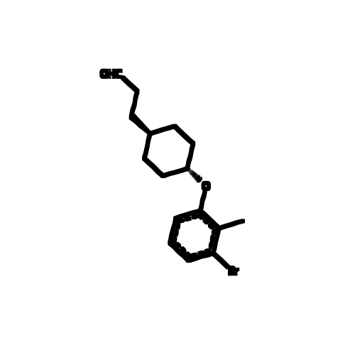 Cc1c(Br)cccc1O[C@H]1CC[C@H](CCC=O)CC1